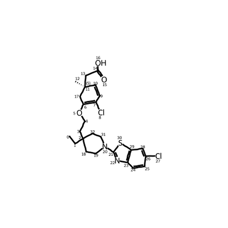 CCC1(CCOC2=C(Cl)C=C[C@](C)(CC(=O)O)C2)CCN(c2nc3ccc(Cl)cc3s2)CC1